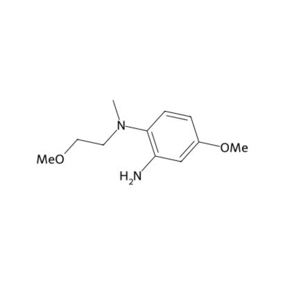 COCCN(C)c1ccc(OC)cc1N